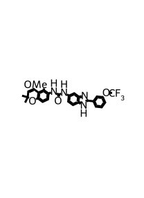 COc1c(NC(=O)Nc2ccc3[nH]c(-c4cccc(OC(F)(F)F)c4)nc3c2)ccc2c1C=CC(C)(C)O2